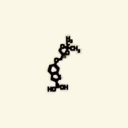 CC1(C)OC[C@H](COc2ccc3cc(B(O)O)sc3c2)O1